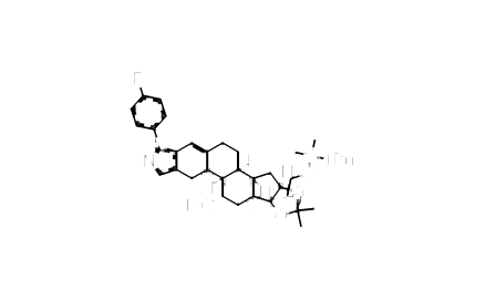 CC1(C)O[C@@H]2C[C@H]3[C@@H]4CCC5=Cc6c(cnn6-c6ccc(F)cc6)C[C@]5(C)[C@H]4[C@@H](O)C[C@]3(C)[C@]2(C(=O)CO[Si](C)(C)C(C)(C)C)O1